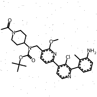 COc1nc(-c2ccnc(-c3cccc(N)c3C)c2Cl)ccc1CN(C(=O)OC(C)(C)C)C1CCN(C(C)=O)CC1